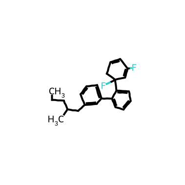 CCCC(C)Cc1cccc(-c2ccccc2C2(F)C=C(F)C=CC2)c1